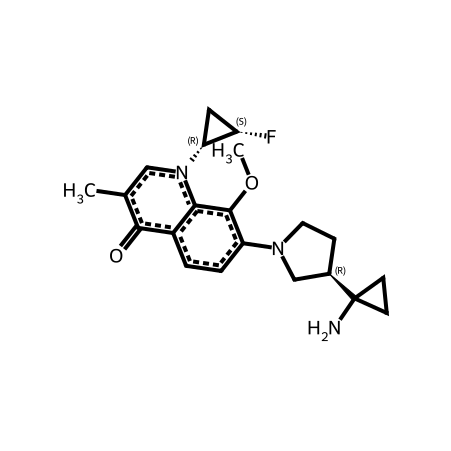 COc1c(N2CC[C@@H](C3(N)CC3)C2)ccc2c(=O)c(C)cn([C@@H]3C[C@@H]3F)c12